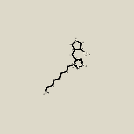 CC(C)CCCCCCCn1nncc1CC1CSCC1C